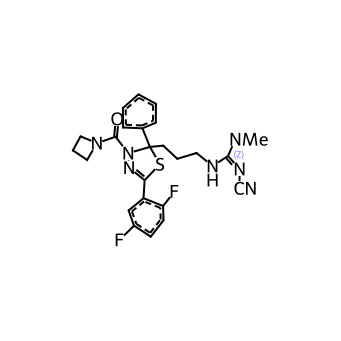 CN/C(=N/C#N)NCCCC1(c2ccccc2)SC(c2cc(F)ccc2F)=NN1C(=O)N1CCC1